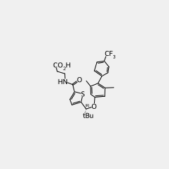 Cc1cc(O[C@@H](c2ccc(C(=O)NCCC(=O)O)s2)C(C)(C)C)cc(C)c1-c1ccc(C(F)(F)F)cc1